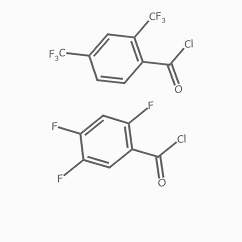 O=C(Cl)c1cc(F)c(F)cc1F.O=C(Cl)c1ccc(C(F)(F)F)cc1C(F)(F)F